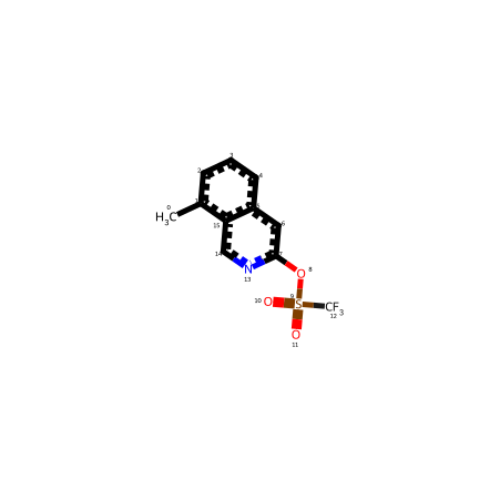 Cc1cccc2cc(OS(=O)(=O)C(F)(F)F)ncc12